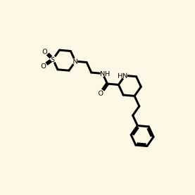 O=C(NCCN1CCS(=O)(=O)CC1)C1CC(CCc2ccccc2)CCN1